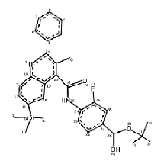 Cc1c(-c2ccccc2)nc2ccc([Si](C)(C)C)cc2c1C(=O)Nc1ccc(C(O)OC(C)(C)C)cc1F